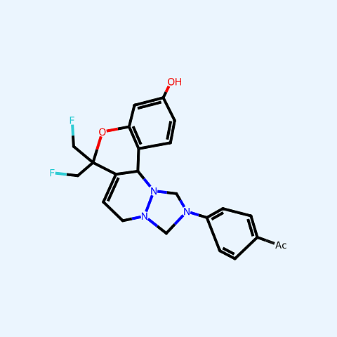 CC(=O)c1ccc(N2CN3CC=C4C(c5ccc(O)cc5OC4(CF)CF)N3C2)cc1